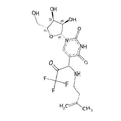 C=C(C)CCNC(C(=O)C(F)(F)F)c1cn([C@@H]2O[C@H](CO)[C@@H](O)[C@H]2O)c(=O)[nH]c1=O